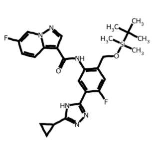 CC(C)(C)[Si](C)(C)OCc1cc(F)c(-c2nnc(C3CC3)[nH]2)cc1NC(=O)c1cnn2cc(F)ccc12